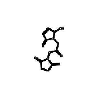 O=C(CN1C(=O)C=CC1O)ON1C(=O)CCC1=O